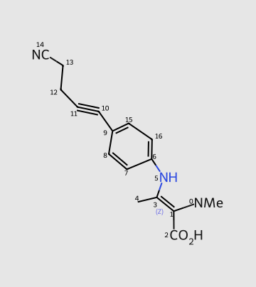 CN/C(C(=O)O)=C(/C)Nc1ccc(C#CCCC#N)cc1